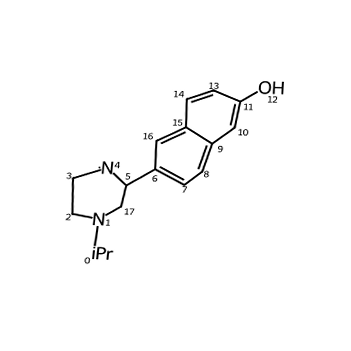 CC(C)N1CC[N]C(c2ccc3cc(O)ccc3c2)C1